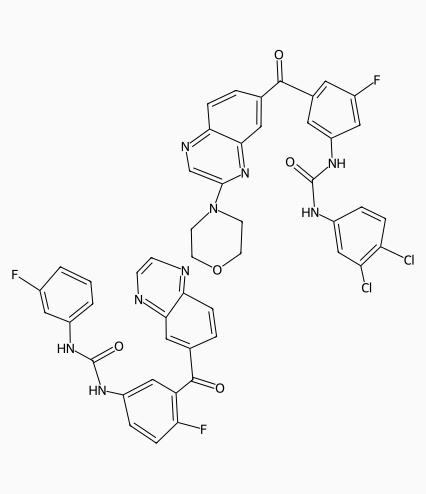 O=C(Nc1cc(F)cc(C(=O)c2ccc3ncc(N4CCOCC4)nc3c2)c1)Nc1ccc(Cl)c(Cl)c1.O=C(Nc1cccc(F)c1)Nc1ccc(F)c(C(=O)c2ccc3nccnc3c2)c1